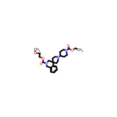 CCOC(=O)N1CCC(N2CCC3(CC2)CN(C(=O)OCCOC)Cc2ccccc23)CC1